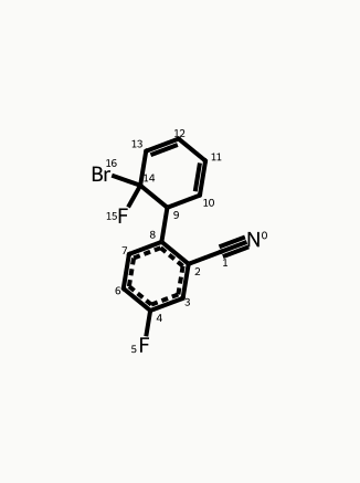 N#Cc1cc(F)ccc1C1C=CC=CC1(F)Br